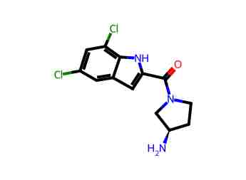 N[C@@H]1CCN(C(=O)c2cc3cc(Cl)cc(Cl)c3[nH]2)C1